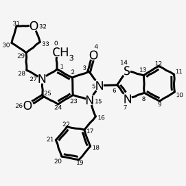 Cc1c2c(=O)n(-c3nc4ccccc4s3)n(Cc3ccccc3)c2cc(=O)n1CC1CCOC1